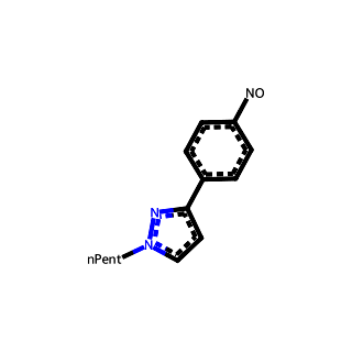 CCCCCn1ccc(-c2ccc(N=O)cc2)n1